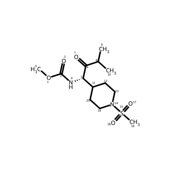 COC(=O)N[C@H](C(=O)C(C)C)C1CCN(S(C)(=O)=O)CC1